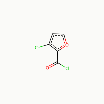 O=C(Cl)c1occc1Cl